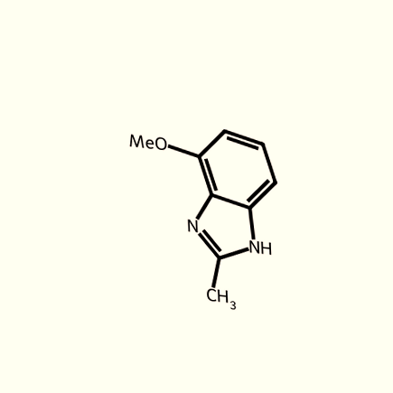 COc1cccc2[nH]c(C)nc12